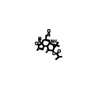 CC1=CC2C3[C@H](C)C(OC(=O)C(C)C)C4C(C4(C)C)C3(N)C=C(CN=O)CC2(N=O)C1=O